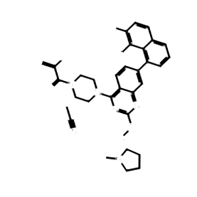 C=C(F)C(=O)N1CCN(c2nc(OC[C@@H]3CCCN3C)nc3cc(-c4cccc5ccc(F)c(Cl)c45)ccc23)C[C@@H]1CC#N